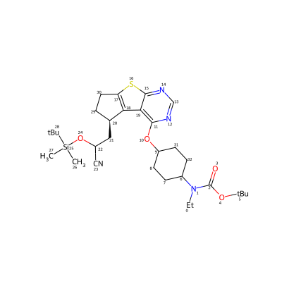 CCN(C(=O)OC(C)(C)C)C1CCC(Oc2ncnc3sc4c(c23)[C@@H](CC(C#N)O[Si](C)(C)C(C)(C)C)CC4)CC1